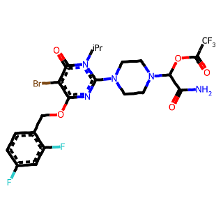 CC(C)n1c(N2CCN(C(OC(=O)C(F)(F)F)C(N)=O)CC2)nc(OCc2ccc(F)cc2F)c(Br)c1=O